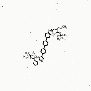 CCCN(Cc1nc2ccc(-c3ccc(-c4ccc(-c5cnc([C@@H]6CCCN6C(=O)OC(C)(C)C)[nH]5)cc4)cc3)cc2[nH]1)C(=O)OC(C)(C)C